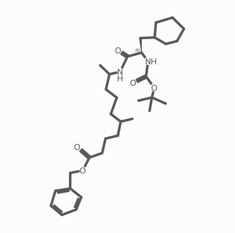 CC(CCCC(=O)OCc1ccccc1)CCCC(C)NC(=O)[C@@H](CC1CCCCC1)NC(=O)OC(C)(C)C